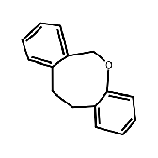 c1ccc2c(c1)CCc1ccccc1OC2